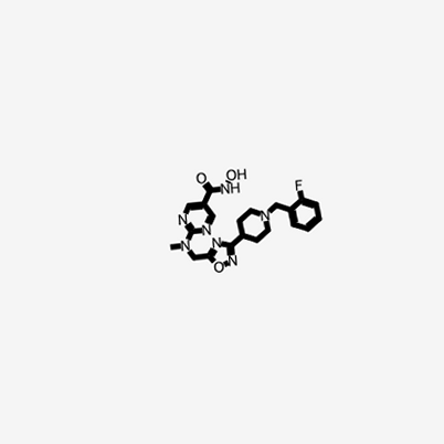 CN(Cc1nc(C2CCN(Cc3ccccc3F)CC2)no1)c1ncc(C(=O)NO)cn1